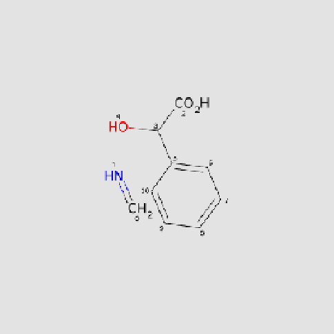 C=N.O=C(O)C(O)c1ccccc1